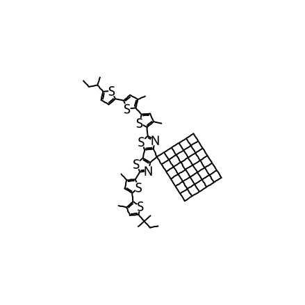 CCC(C)c1ccc(-c2cc(C)c(-c3cc(C)c(-c4nc5c(s4)-c4sc(-c6sc(-c7sc(C(C)(C)CC)cc7C)cc6C)nc4C54C5C6C7C8CC9C%10C%11C%12C%13CC%14C%15C%16C%17CC%18C%19C%20C%21C4C54C65C76C89C%107C%118C%129C%14%13C%15%10C%16%11C%17%18C%19%12C%20%13C%214C54C67C85C%109C%11%12C%1345)s3)s2)s1